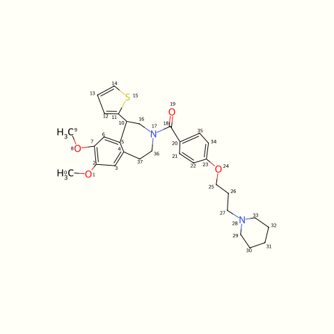 COc1cc2c(cc1OC)C(c1cccs1)CN(C(=O)c1ccc(OCCCN3CCCCC3)cc1)CC2